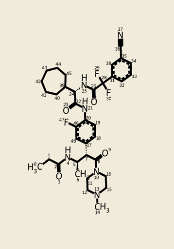 CCC(=O)N[C@H](C)[C@@H](C(=O)N1CCN(C)CC1)c1ccc(NC(=O)[C@@H](NC(=O)C(F)(F)c2cccc(C#N)c2)C2CCCCCC2)c(F)c1